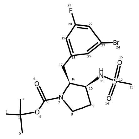 CC(C)(C)OC(=O)N1CC[C@H](NS(C)(=O)=O)[C@@H]1Cc1cc(F)cc(Br)c1